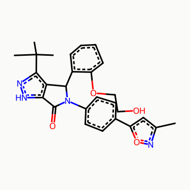 Cc1cc(-c2ccc(N3C(=O)c4[nH]nc(C(C)(C)C)c4C3c3ccccc3OCCO)cc2)on1